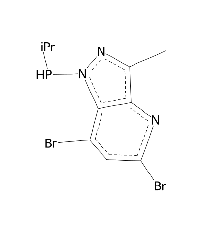 Cc1nn(PC(C)C)c2c(Br)cc(Br)nc12